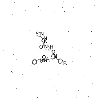 Cn1nc(-c2cscn2)cc1C(=O)N1C[C@H]2[C@H](Oc3cc(C(C)(C)NC(=O)OCc4ccccc4)cc(-c4ccc(F)cc4)n3)[C@@]2(C)C1